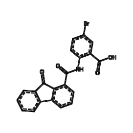 O=C(O)c1cc(Br)ccc1NC(=O)c1cccc2c1C(=O)c1ccccc1-2